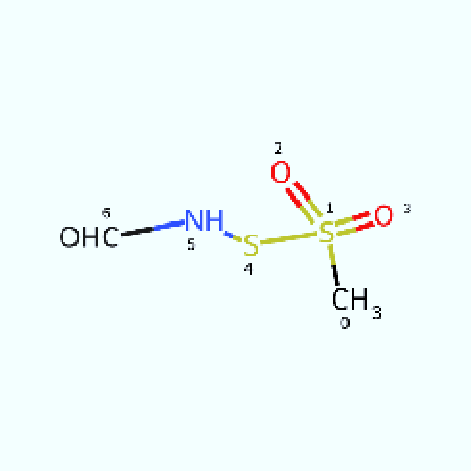 CS(=O)(=O)SNC=O